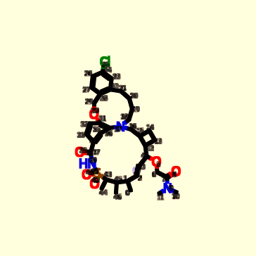 CC1/C=C/C(OCC(=O)N(C)C)C2CCC2CN2CCCCc3cc(Cl)ccc3COc3ccc(cc32)C(=O)NS(=O)(=O)C(C)C1C